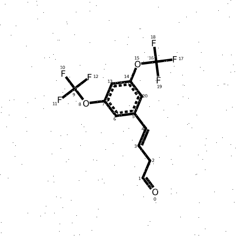 O=CCC=Cc1cc(OC(F)(F)F)cc(OC(F)(F)F)c1